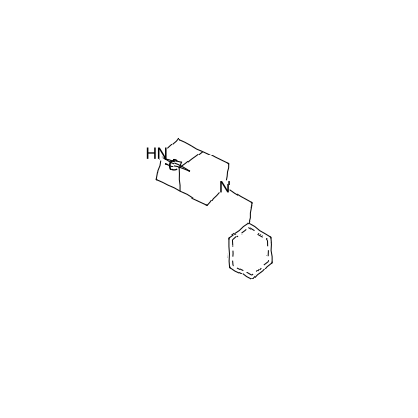 c1ccc(CN2CC3CNCC(C2)C32CCCCC2)cc1